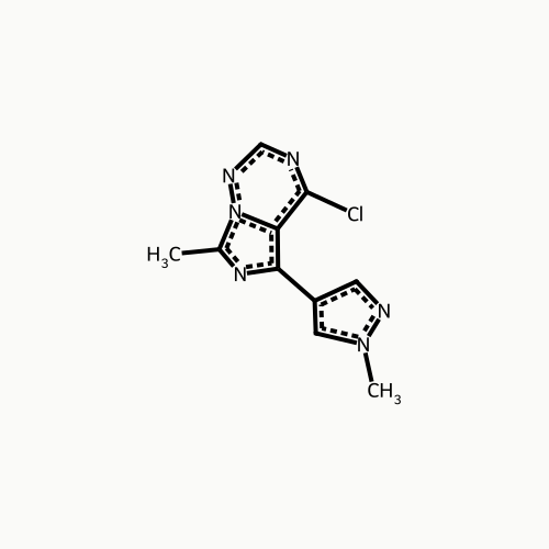 Cc1nc(-c2cnn(C)c2)c2c(Cl)ncnn12